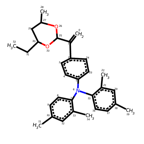 C=C(c1ccc(N(c2ccc(C)cc2C)c2ccc(C)cc2C)cc1)C1OC(C)CC(CC)O1